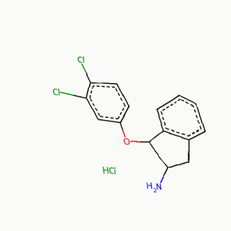 Cl.NC1Cc2ccccc2C1Oc1ccc(Cl)c(Cl)c1